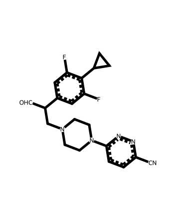 N#Cc1ccc(N2CCN(CC(C=O)c3cc(F)c(C4CC4)c(F)c3)CC2)nn1